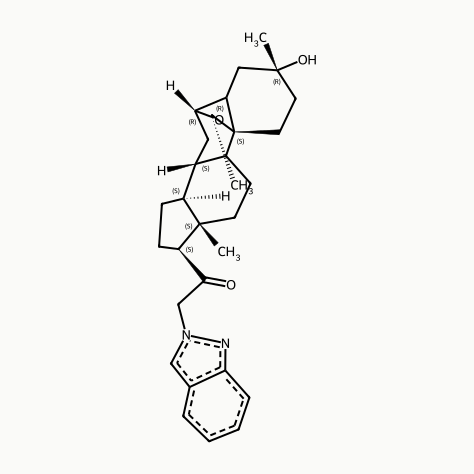 C[C@H]1O[C@@H]2C[C@@H]3C(CC[C@]4(C)[C@@H](C(=O)Cn5cc6ccccc6n5)CC[C@@H]34)[C@]13CC[C@@](C)(O)CC23